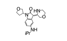 CC(C)Nc1ccc2c(c1)/C(=C1\COCCN1)C(=O)N2C1CCOC1